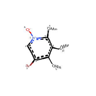 COc1c(Br)c[n+]([O-])c(OC)c1OC